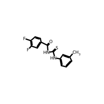 Cc1cccc(NC(=S)NC(=O)c2ccc(F)c(F)c2)c1